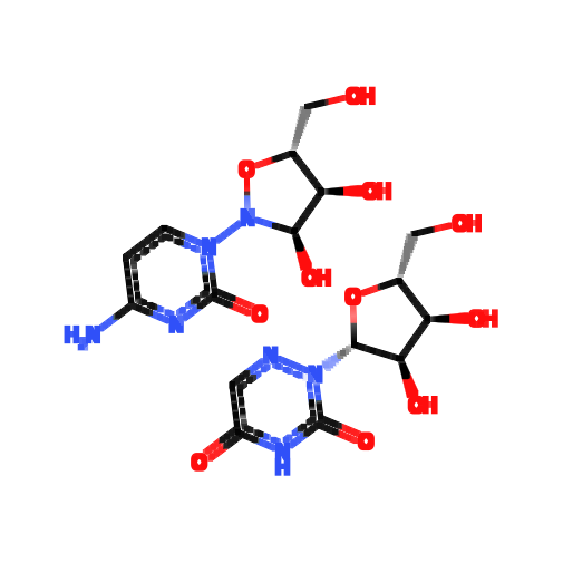 Nc1ccn(N2O[C@H](CO)[C@@H](O)[C@H]2O)c(=O)n1.O=c1cnn([C@@H]2O[C@H](CO)[C@@H](O)[C@H]2O)c(=O)[nH]1